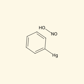 O=NO.[Hg][c]1ccccc1